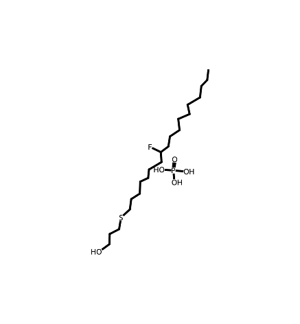 CCCCCCCCCCC(F)CCCCCCCSCCCO.O=P(O)(O)O